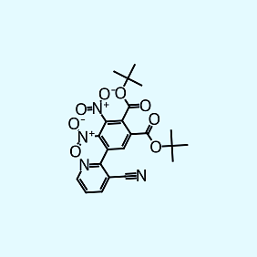 CC(C)(C)OC(=O)c1cc(-c2ncccc2C#N)c([N+](=O)[O-])c([N+](=O)[O-])c1C(=O)OC(C)(C)C